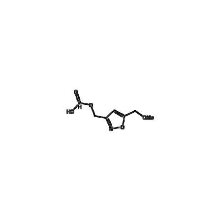 COCc1cc(CO[PH](=O)O)no1